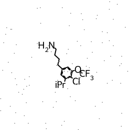 CC(C)c1cc(CCCCN)cc(OC(F)(F)F)c1Cl